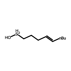 CCCCC=CCCC[SiH2]O